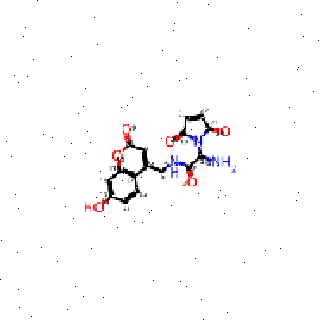 NC(C(=O)NCc1cc(=O)oc2cc(O)ccc12)N1C(=O)C=CC1=O